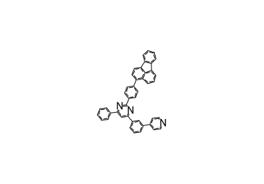 c1ccc(-c2cc(-c3cccc(-c4ccncc4)c3)nc(-c3ccc(-c4ccc5c6c(cccc46)-c4ccccc4-5)cc3)n2)cc1